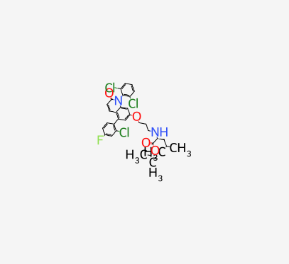 CC(C)C[C@H](NCCCOc1cc(-c2ccc(F)cc2Cl)c2ccc(=O)n(-c3c(Cl)cccc3Cl)c2c1)C(=O)OC(C)C